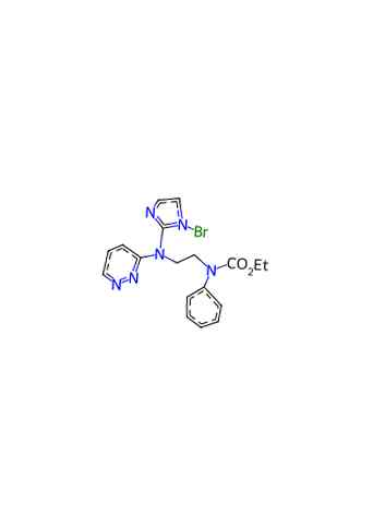 CCOC(=O)N(CCN(c1cccnn1)c1nccn1Br)c1ccccc1